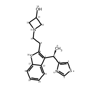 C[C@@H](c1cscn1)c1c(CCN2CC(O)C2)sc2ccccc12